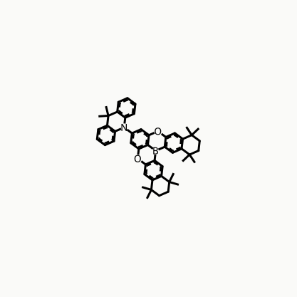 CC1(C)CCC(C)(C)c2cc3c(cc21)Oc1cc(N2c4ccccc4C(C)(C)c4ccccc42)cc2c1B3c1cc3c(cc1O2)C(C)(C)CCC3(C)C